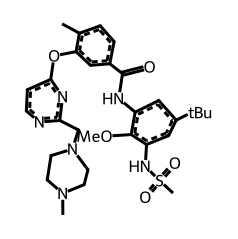 COc1c(NC(=O)c2ccc(C)c(Oc3ccnc(CN4CCN(C)CC4)n3)c2)cc(C(C)(C)C)cc1NS(C)(=O)=O